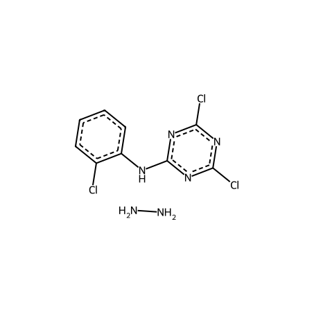 Clc1nc(Cl)nc(Nc2ccccc2Cl)n1.NN